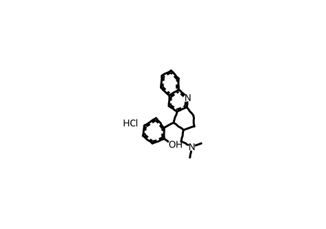 CN(C)CC1CCc2nc3ccccc3cc2C1c1ccccc1O.Cl